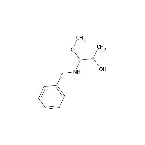 COC(NCc1ccccc1)C(C)O